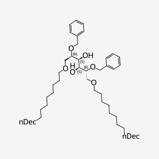 CCCCCCCCCCCCCCCCCCOC[C@@H](OCc1ccccc1)[C@@H](O)[C@H](O)[C@@H](COCCCCCCCCCCCCCCCCCC)OCc1ccccc1